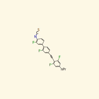 CCCc1cc(F)c(C#Cc2ccc(-c3ccc(N=C=S)c(F)c3)c(F)c2)c(F)c1